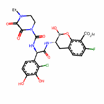 CCN1CCN(C(=O)N[C@@H](C(=O)N[C@H]2Cc3ccc(F)c(C(=O)O)c3OB2O)c2ccc(O)c(O)c2Cl)C(=O)C1=O